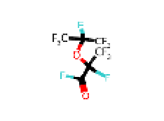 O=C(F)C(F)(OC(F)(C(F)(F)F)C(F)(F)F)C(F)(F)F